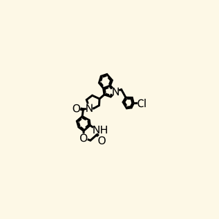 O=C1COc2ccc(C(=O)N3CCC(c4cn(Cc5cccc(Cl)c5)c5ccccc45)CC3)cc2N1